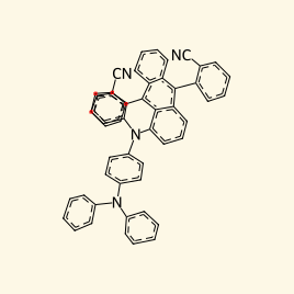 N#Cc1ccccc1-c1c2ccccc2c(-c2ccccc2C#N)c2c(N(c3ccccc3)c3ccc(N(c4ccccc4)c4ccccc4)cc3)cccc12